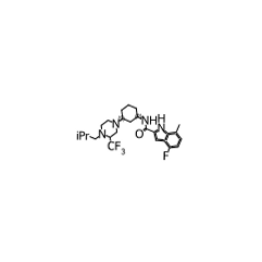 Cc1ccc(F)c2cc(C(=O)N[C@@H]3CCC[C@H](N4CCN(CC(C)C)C(C(F)(F)F)C4)C3)[nH]c12